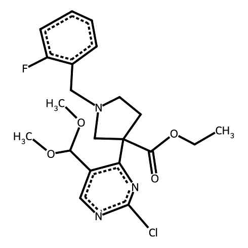 CCOC(=O)C1(c2nc(Cl)ncc2C(OC)OC)CCN(Cc2ccccc2F)C1